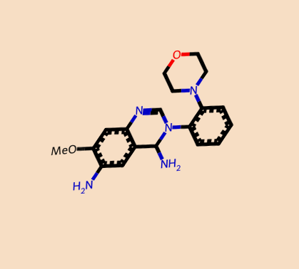 COc1cc2c(cc1N)C(N)N(c1ccccc1N1CCOCC1)C=N2